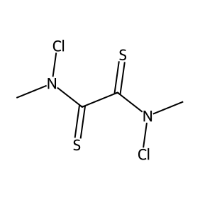 CN(Cl)C(=S)C(=S)N(C)Cl